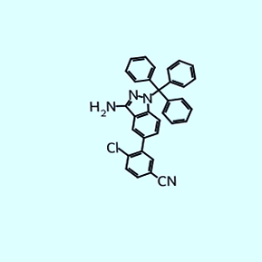 N#Cc1ccc(Cl)c(-c2ccc3c(c2)c(N)nn3C(c2ccccc2)(c2ccccc2)c2ccccc2)c1